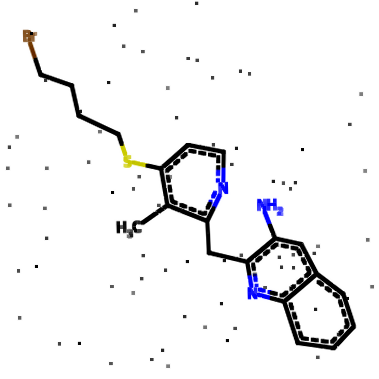 Cc1c(SCCCCBr)ccnc1Cc1nc2ccccc2cc1N